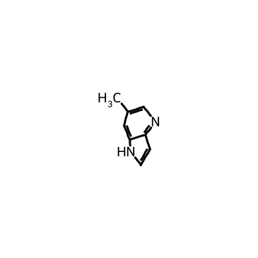 Cc1cnc2cc[nH]c2c1